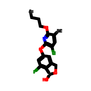 [C-]#[N+]c1cc(Cl)c(Oc2cc(F)c3c(c2)COB3O)nc1OCCCC(C)=O